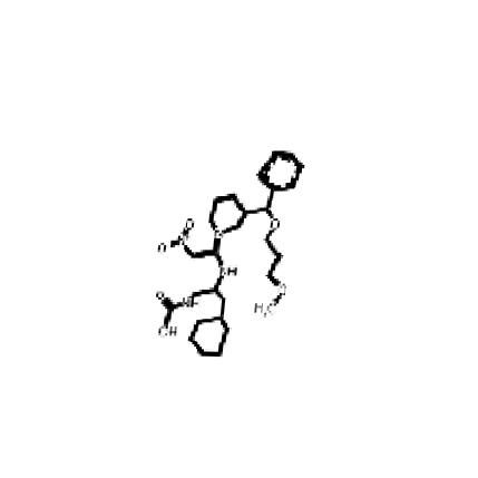 COCCCOC(c1ccccc1)C1CCCN(/C(=C\[N+](=O)[O-])NC(CNC(=O)O)CC2CCCCC2)C1